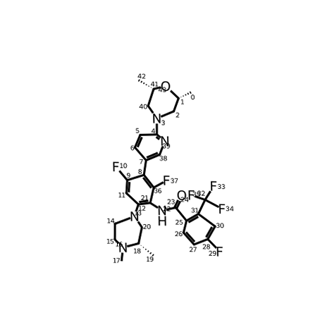 C[C@@H]1CN(c2ccc(-c3c(F)cc(N4CCN(C)[C@@H](C)C4)c(NC(=O)c4ccc(F)cc4C(F)(F)F)c3F)cn2)C[C@H](C)O1